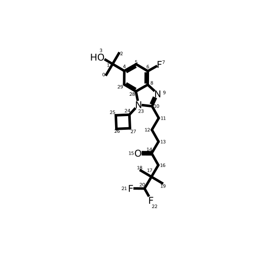 CC(C)(O)c1cc(F)c2nc(CCCC(=O)CC(C)(C)C(F)F)n(C3CCC3)c2c1